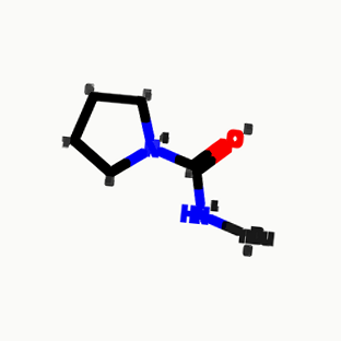 CCCCNC(=O)N1CCCC1